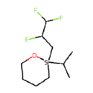 CC(C)[Si]1(CC(F)C(F)F)CCCCO1